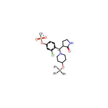 CC(C)[Si](OC1CCN([C@@H](c2ccc(OS(=O)(=O)C(F)(F)F)cc2Cl)C2CCNC2=O)CC1)(C(C)C)C(C)C